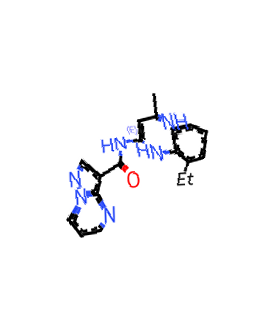 CCc1ccccc1N/C(=C\C(C)=N)NC(=O)c1cnn2cccnc12